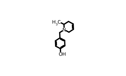 CC1CC=CCN1Cc1ccc(O)cc1